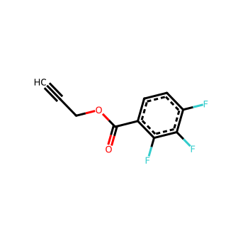 C#CCOC(=O)c1ccc(F)c(F)c1F